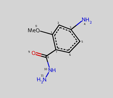 COc1cc(N)ccc1C(=O)NN